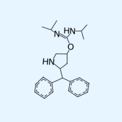 CC(C)/N=C(\NC(C)C)OC1CNC(C(c2ccccc2)c2ccccc2)C1